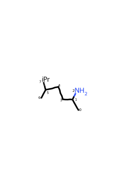 CC(N)CCC(C)C(C)C